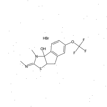 Br.CN=C1SC2Cc3cc(OC(F)(F)F)ccc3C2(O)N1C